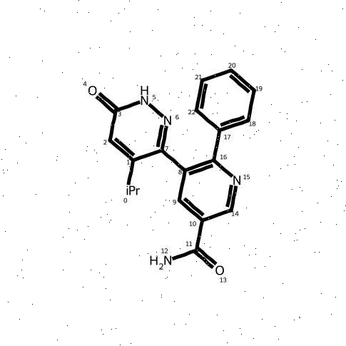 CC(C)c1cc(=O)[nH]nc1-c1cc(C(N)=O)cnc1-c1ccccc1